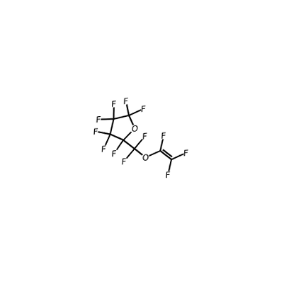 FC(F)=C(F)OC(F)(F)C1(F)OC(F)(F)C(F)(F)C1(F)F